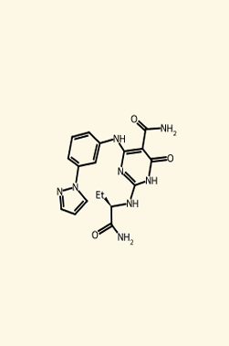 CC[C@@H](Nc1nc(Nc2cccc(-n3cccn3)c2)c(C(N)=O)c(=O)[nH]1)C(N)=O